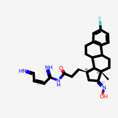 C[C@]12CCC3c4ccc(F)cc4CCC3C1[C@H](CCC(=O)NC(=N)/C=C\C=N)C/C2=N\O